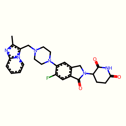 Cc1nc2ccccn2c1CN1CCN(c2cc3c(cc2F)C(=O)N(C2CCC(=O)NC2=O)C3)CC1